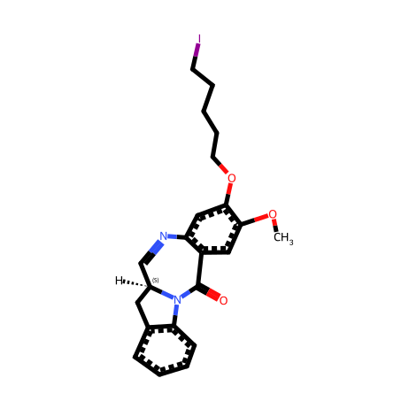 COc1cc2c(cc1OCCCCCI)N=C[C@@H]1Cc3ccccc3N1C2=O